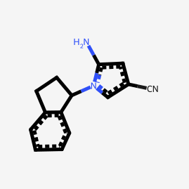 N#Cc1cc(N)n(C2CCc3ccccc32)c1